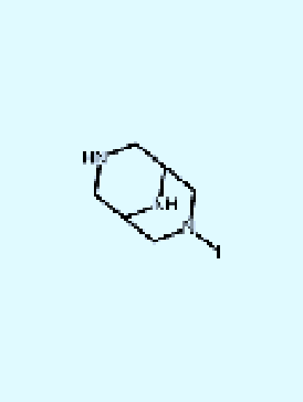 IN1CC2CNCC(C1)N2